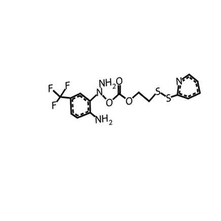 Nc1ccc(C(F)(F)F)cc1N(N)OC(=O)OCCSSc1ccccn1